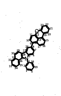 c1ccc(-n2c3ccc(-c4ccc5c6c(cccc46)-c4ccccc4O5)cc3c3ccc4ccccc4c32)cc1